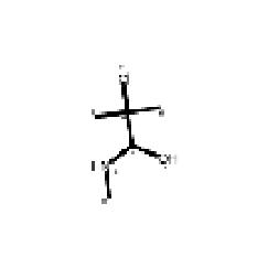 CNC(O)C(C)(C)Cl